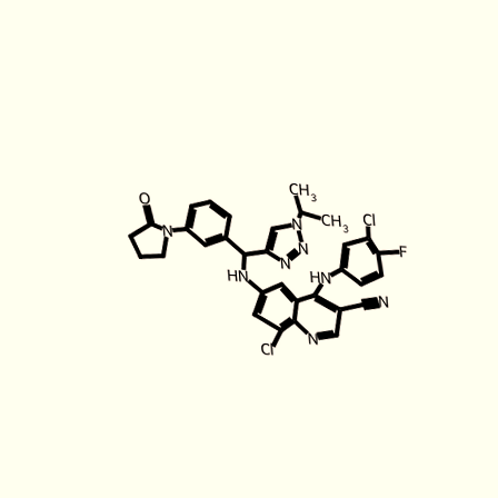 CC(C)n1cc(C(Nc2cc(Cl)c3ncc(C#N)c(Nc4ccc(F)c(Cl)c4)c3c2)c2cccc(N3CCCC3=O)c2)nn1